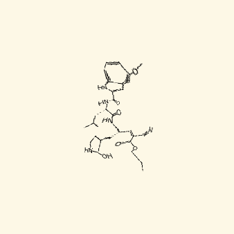 CCCOC(=O)/C(C#N)=C\[C@H](C[C@@H]1CCNC1O)NC(=O)[C@H](CC(C)C)NC(=O)c1cc2c(OC)cccc2[nH]1